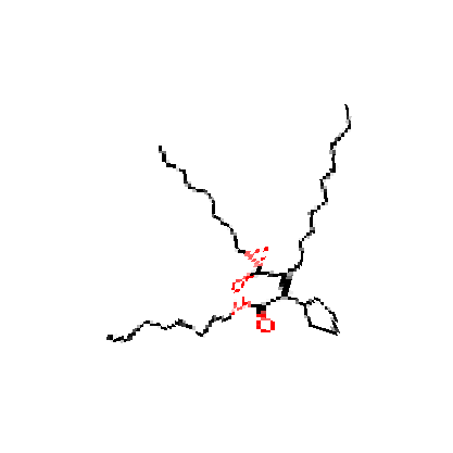 CCCCCCCCCC/C(C(=O)OCCCCCCCC)=C(/C(=O)OCCCCCCCC)C1CCCC1